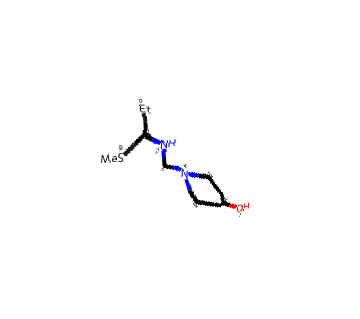 CCC(NCN1CC(O)C1)SC